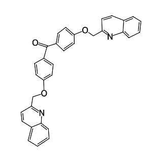 O=C(c1ccc(OCc2ccc3ccccc3n2)cc1)c1ccc(OCc2ccc3ccccc3n2)cc1